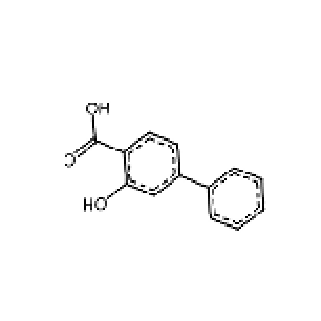 O=C(O)c1ccc(-c2ccccc2)cc1O